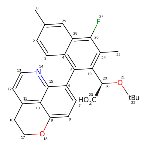 Cc1ccc2c(-c3ccc4c5c(ccnc35)CCO4)c([C@@H](OC(C)(C)C)C(=O)O)c(C)c(F)c2c1